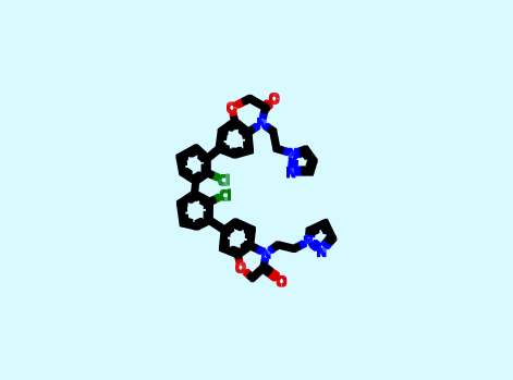 O=C1COc2cc(-c3cccc(-c4cccc(-c5ccc6c(c5)OCC(=O)N6CCn5cccn5)c4Cl)c3Cl)ccc2N1CCn1cccn1